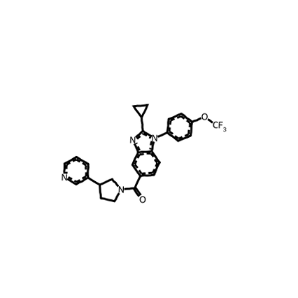 O=C(c1ccc2c(c1)nc(C1CC1)n2-c1ccc(OC(F)(F)F)cc1)N1CCC(c2cccnc2)C1